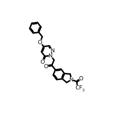 O=C(Cn1ncc(OCc2ccccc2)cc1=O)c1ccc2c(c1)CN(C(=O)C(F)(F)F)C2